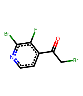 O=C(CBr)c1ccnc(Br)c1F